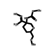 CCCCOCC1CCC(NC(=O)OC(C)(C)C)(/C(N)=N/O)CO1